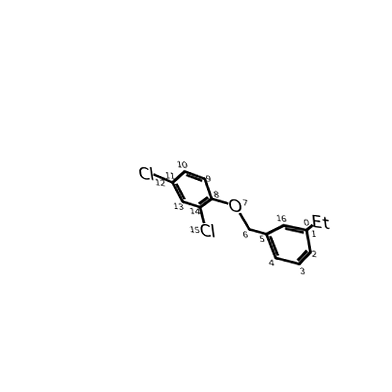 CCc1cccc(COc2ccc(Cl)cc2Cl)c1